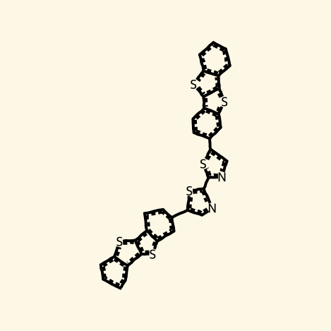 c1ccc2c(c1)sc1c3ccc(-c4cnc(-c5ncc(-c6ccc7c(c6)sc6c8ccccc8sc76)s5)s4)cc3sc21